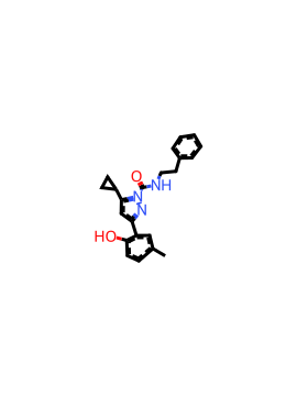 Cc1ccc(O)c(-c2cc(C3CC3)n(C(=O)NCCc3ccccc3)n2)c1